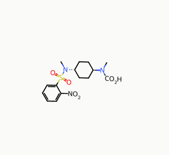 CN(C(=O)O)[C@H]1CC[C@H](N(C)S(=O)(=O)c2ccccc2[N+](=O)[O-])CC1